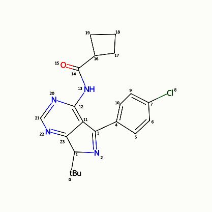 CC(C)(C)C1N=C(c2ccc(Cl)cc2)c2c(NC(=O)C3CCC3)ncnc21